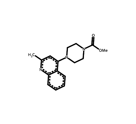 COC(=O)N1CCN(c2cc(C)nc3ccccc23)CC1